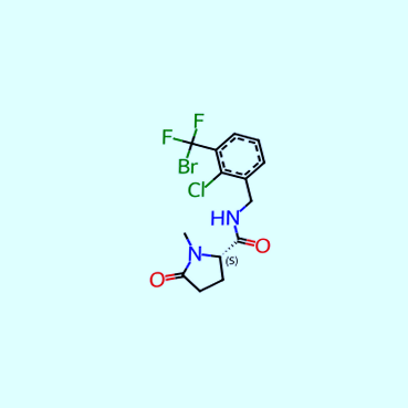 CN1C(=O)CC[C@H]1C(=O)NCc1cccc(C(F)(F)Br)c1Cl